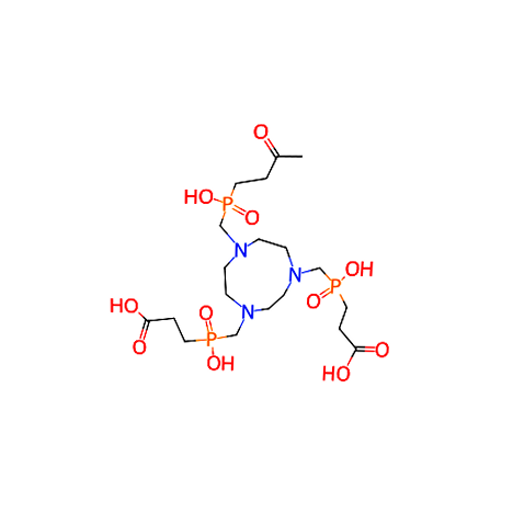 CC(=O)CCP(=O)(O)CN1CCN(CP(=O)(O)CCC(=O)O)CCN(CP(=O)(O)CCC(=O)O)CC1